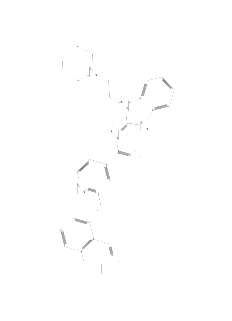 O=Cc1c(O)cccc1Oc1cc(C(=O)/N=c2\[nH]c3ccccc3n2CCN2CCOCC2)ccn1